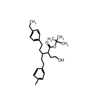 CCc1ccc(CCC(CCc2ccc(I)cc2)C(CCO)C(=O)OC(C)(C)C)cc1